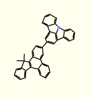 CC1(C)c2ccccc2-c2c1c1ccc(-c3cc4c5ccccc5n5c6ccccc6c(c3)c45)cc1c1ccccc21